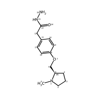 CN1CCC[C@@H]1COc1ccc(CC(=O)NN)cc1